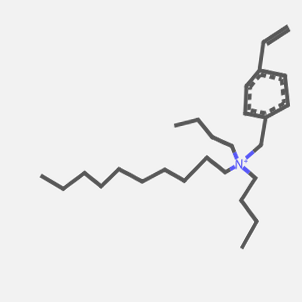 C=Cc1ccc(C[N+](CCCC)(CCCC)CCCCCCCCCC)cc1